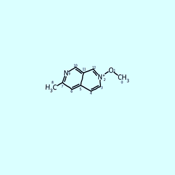 CO[n+]1ccc2cc(C)ncc2c1